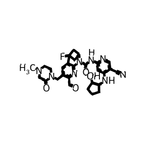 CN1CCN(Cc2cc3c(nc2C=O)N(C(=O)Nc2cc(NC4CCCC4O)c(C#N)cn2)C2CC3(F)C2)C(=O)C1